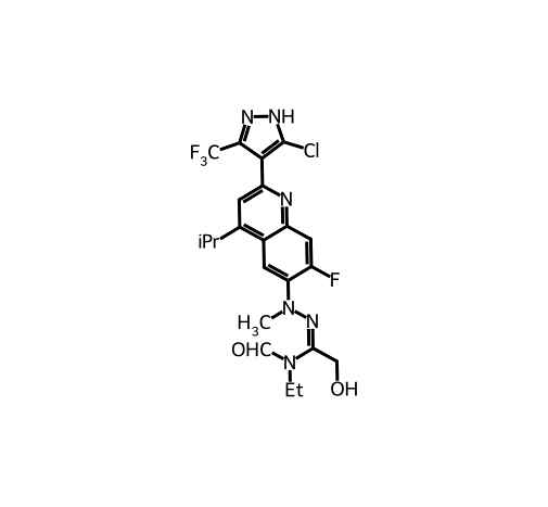 CCN(C=O)/C(CO)=N\N(C)c1cc2c(C(C)C)cc(-c3c(C(F)(F)F)n[nH]c3Cl)nc2cc1F